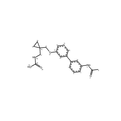 CC(=O)Nc1cccc(-c2cncc(OCC3(CNC(=O)O)CC3)c2)c1